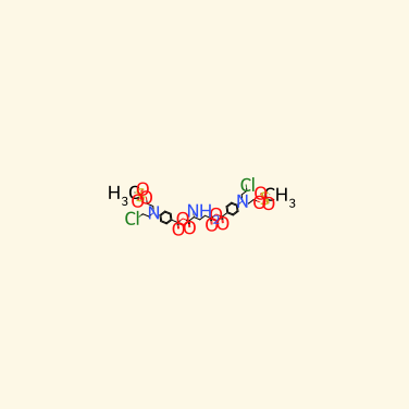 CS(=O)(=O)OCCN(CCCl)c1ccc(C(=O)OC(=O)CC[C@H](N)C(=O)OC(=O)c2ccc(N(CCCl)CCOS(C)(=O)=O)cc2)cc1